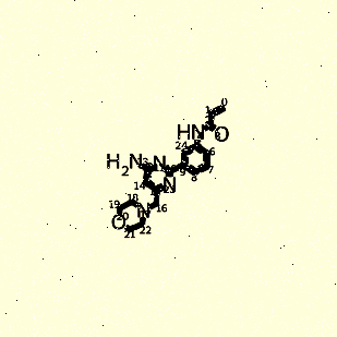 C=CC(=O)Nc1cccc(-c2nc(N)cc(CN3CCOCC3)n2)c1